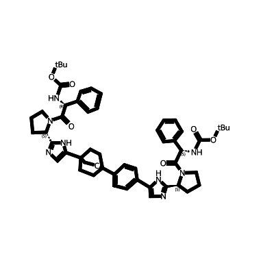 CC(C)(C)OC(=O)N[C@H](C(=O)N1CCC[C@H]1c1ncc(-c2ccc(C34CCC(c5cnc([C@@H]6CCCN6C(=O)[C@H](NC(=O)OC(C)(C)C)c6ccccc6)[nH]5)(CC3)CC4)cc2)[nH]1)c1ccccc1